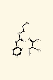 CC(C)CC(N)C(N)=O.N#CCCNC(=S)Nc1ccncc1